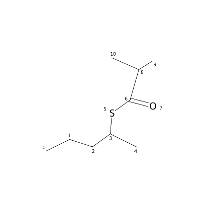 CCCC(C)SC(=O)C(C)C